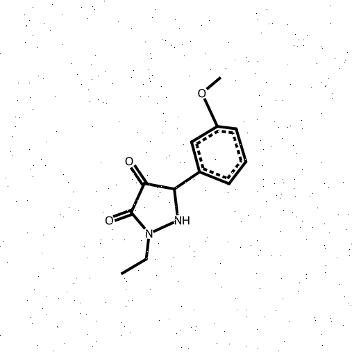 CCN1NC(c2cccc(OC)c2)C(=O)C1=O